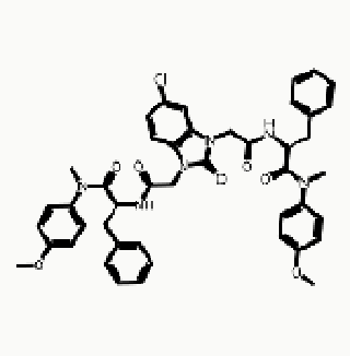 COc1ccc(N(C)C(=O)[C@H](Cc2ccccc2)NC(=O)Cn2c(=O)n(CC(=O)N[C@@H](Cc3ccccc3)C(=O)N(C)c3ccc(OC)cc3)c3cc(Cl)ccc32)cc1